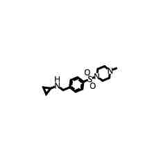 CN1CCN(S(=O)(=O)c2ccc(CNC3CC3)cc2)CC1